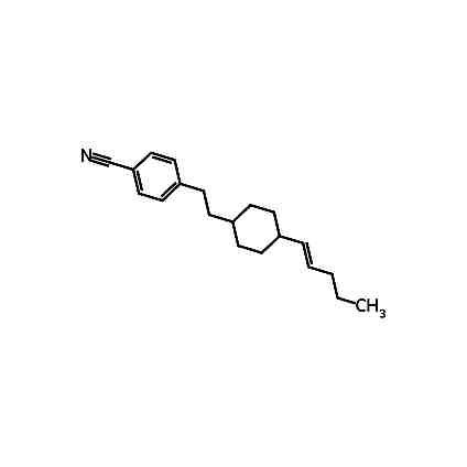 CCC/C=C/C1CCC(CCc2ccc(C#N)cc2)CC1